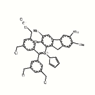 CC(C)(C)c1cc2c(cc1C(C)(C)C)-c1cc(C(C)(C)C)c(C(C)(C)C)[c]([Zr+2](=[C](c3cc(CCl)cc(CCl)c3)c3cc(CCl)cc(CCl)c3)[CH]3C=CC=C3)c1C2.[Cl-].[Cl-]